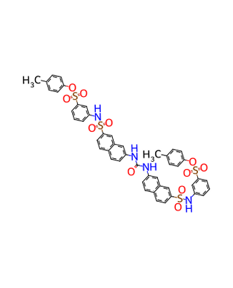 Cc1ccc(OS(=O)(=O)c2cccc(NS(=O)(=O)c3ccc4ccc(NC(=O)Nc5ccc6ccc(S(=O)(=O)Nc7cccc(S(=O)(=O)Oc8ccc(C)cc8)c7)cc6c5)cc4c3)c2)cc1